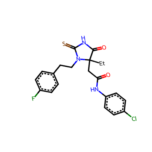 CCC1(CC(=O)Nc2ccc(Cl)cc2)C(=O)NC(=S)N1CCc1ccc(F)cc1